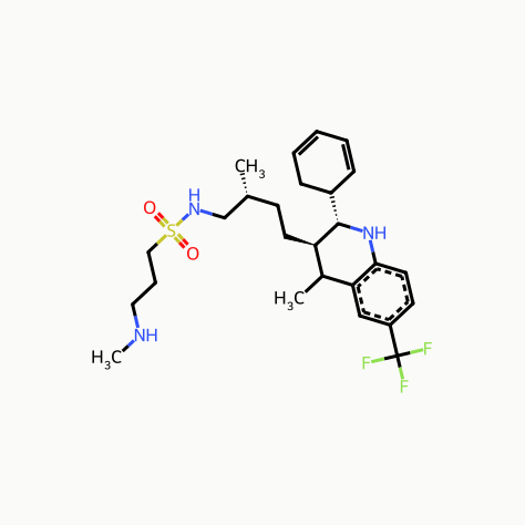 CNCCCS(=O)(=O)NC[C@H](C)CC[C@@H]1C(C)c2cc(C(F)(F)F)ccc2N[C@H]1C1C=CC=CC1